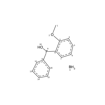 B.COc1ccccc1P(O)c1ccccc1